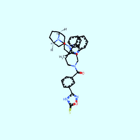 Cc1nc2ccccc2n1C1C[C@H]2CC[C@@H](C1)N2CCC1(c2ccccc2)CCN(C(=O)c2cccc(-c3noc(=S)[nH]3)c2)CC1